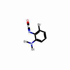 CCc1cccc(N(CC)CC)c1N=C=O